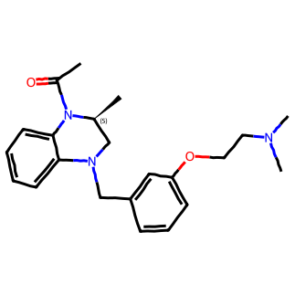 CC(=O)N1c2ccccc2N(Cc2cccc(OCCN(C)C)c2)C[C@@H]1C